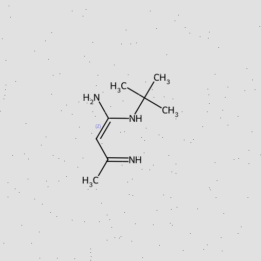 CC(=N)/C=C(/N)NC(C)(C)C